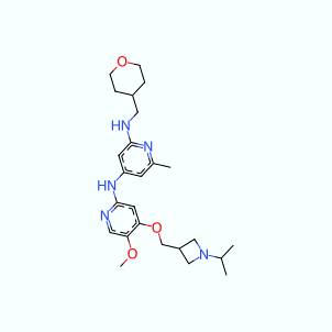 COc1cnc(Nc2cc(C)nc(NCC3CCOCC3)c2)cc1OCC1CN(C(C)C)C1